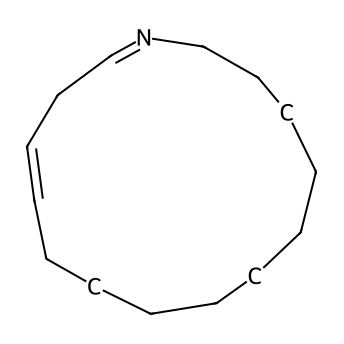 C1=CCCCCCCCCCCN=CC1